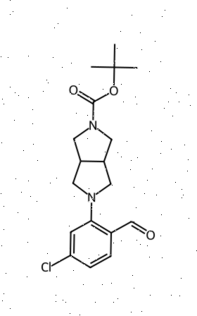 CC(C)(C)OC(=O)N1CC2CN(c3cc(Cl)ccc3C=O)CC2C1